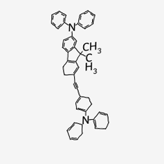 CC1(C)C2=C(CCC(C#CC3=CC=C(N(C4=CCCC=C4)C4C=CC=CC4)CC3)=C2)c2ccc(N(c3ccccc3)c3ccccc3)cc21